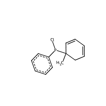 CC1(P(Cl)c2ccccc2)C=CC=CC1